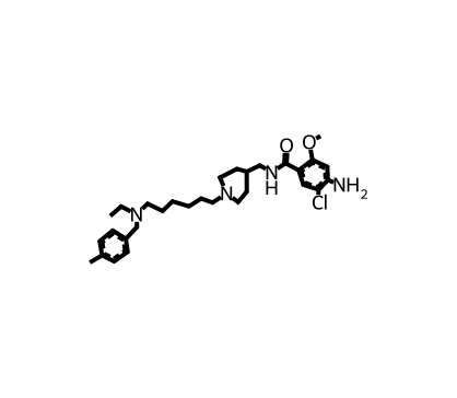 CCN(CCCCCCN1CCC(CNC(=O)c2cc(Cl)c(N)cc2OC)CC1)Cc1ccc(C)cc1